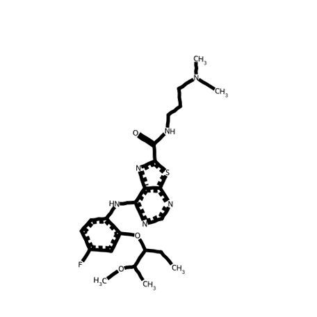 CCC(Oc1cc(F)ccc1Nc1ncnc2sc(C(=O)NCCCN(C)C)nc12)C(C)OC